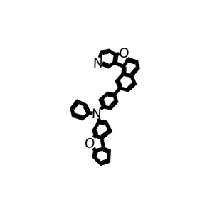 c1ccc(N(c2ccc(-c3ccc4ccc5oc6ccncc6c5c4c3)cc2)c2ccc3c(c2)oc2ccccc23)cc1